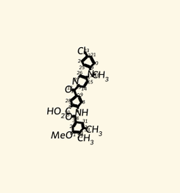 COc1cc(C(=O)Nc2ccc(C(=O)c3ccc(N(C)c4ccc(Cl)cc4)cn3)cc2C(=O)O)cc(C)c1C